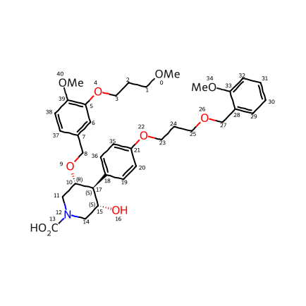 COCCCOc1cc(CO[C@H]2CN(C(=O)O)C[C@@H](O)[C@@H]2c2ccc(OCCCOCc3ccccc3OC)cc2)ccc1OC